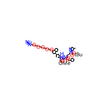 C=C(/C=C\C(=C/C)c1ccc(OCCOCCOCCOCCOCCN=[N+]=[N-])c2ccccc12)[C@H](CC(=O)OC)NC(=O)[C@H](COCc1ccccc1)NC(=O)CCCN(C(=O)OC(C)(C)C)c1cc(C)ccn1